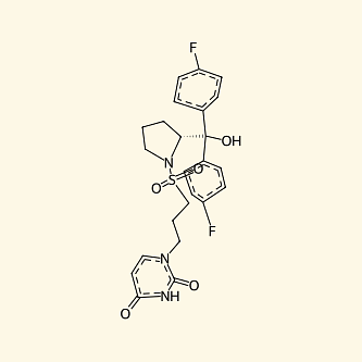 O=c1ccn(CCCS(=O)(=O)N2CCC[C@@H]2C(O)(c2ccc(F)cc2)c2ccc(F)cc2)c(=O)[nH]1